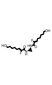 O=C(N[C@H]1C[C@H]1NC(=O)/C(F)=C/CCCCCO)/C(F)=C/CCCCCO